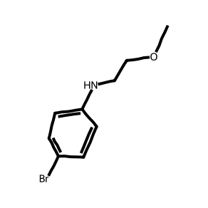 COCCNc1ccc(Br)cc1